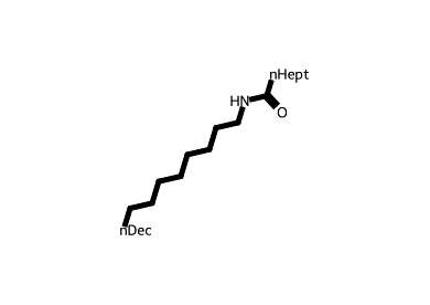 CCCCCCCCCCCCCCCCCCNC(=O)CCCCCCC